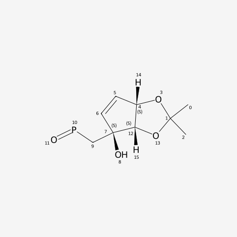 CC1(C)O[C@H]2C=C[C@@](O)(CP=O)[C@H]2O1